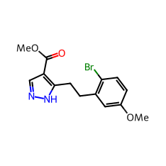 COC(=O)c1cn[nH]c1CCc1cc(OC)ccc1Br